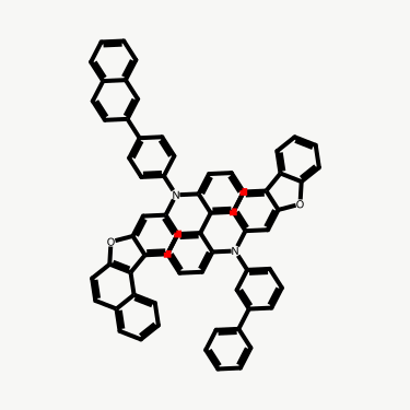 c1ccc(-c2cccc(N(c3ccc4c(c3)oc3ccccc34)c3ccccc3-c3ccccc3N(c3ccc(-c4ccc5ccccc5c4)cc3)c3ccc4c(c3)oc3ccc5ccccc5c34)c2)cc1